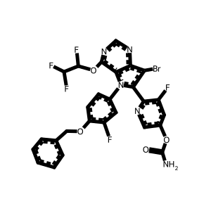 NC(=O)Oc1cnc(-c2c(Br)c3ncnc(OC(F)C(F)F)c3n2-c2ccc(OCc3ccccc3)c(F)c2)c(F)c1